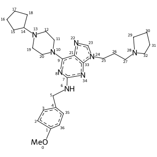 COc1ccc(CNc2nc(N3CCN(C4CCCC4)CC3)c3ncn(CCCN4CCCC4)c3n2)cc1